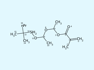 C=C(C)C(=O)OC(C)OC(C)O[SiH2]C(C)(C)CCC